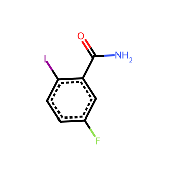 NC(=O)c1cc(F)ccc1I